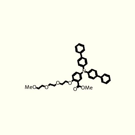 COCCOCCOCCOc1ccc(N(c2ccc(-c3ccccc3)cc2)c2ccc(-c3ccccc3)cc2)cc1C(=O)OC